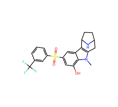 Cn1c2c(c3cc(S(=O)(=O)c4cccc(C(F)(F)F)c4)cc(O)c31)C1CCC(C2)N1